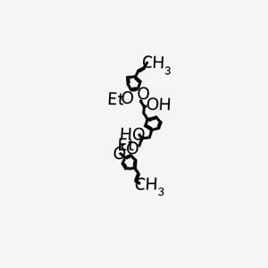 CC=Cc1ccc(OCC)c(OCC(O)Cc2cccc(CC(O)COc3cc(C=CC)ccc3OCC)c2)c1